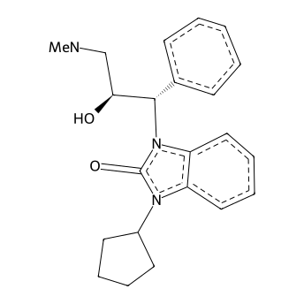 CNC[C@H](O)[C@H](c1ccccc1)n1c(=O)n(C2CCCC2)c2ccccc21